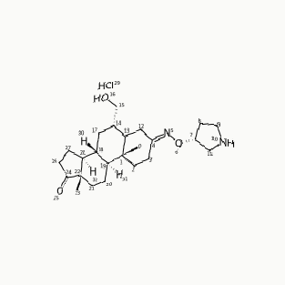 C[C@]12CC/C(=N\O[C@@H]3CCNC3)CC1[C@@H](CO)C[C@@H]1[C@@H]2CC[C@]2(C)C(=O)CC[C@@H]12.Cl